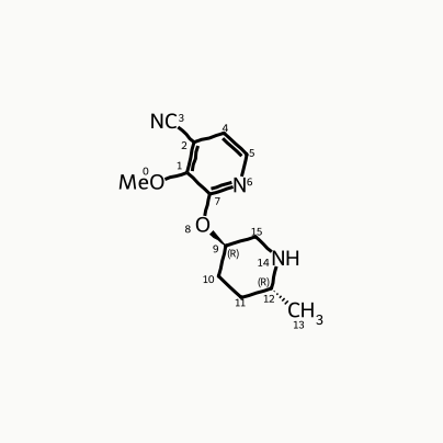 COc1c(C#N)ccnc1O[C@@H]1CC[C@@H](C)NC1